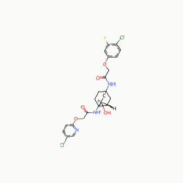 O=C(COc1ccc(Cl)c(F)c1)NC12CCC(NC(=O)COc3ccc(Cl)cn3)(CC1)[C@@H](O)C2